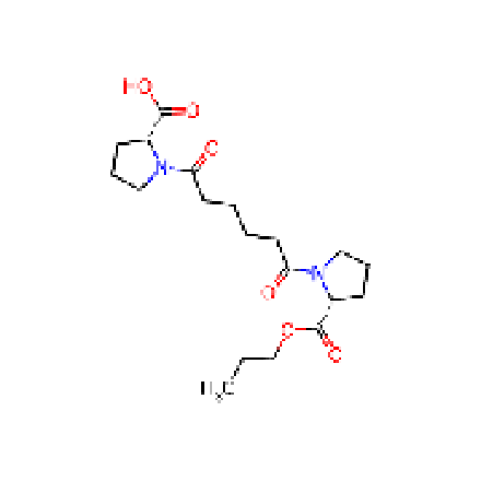 CCCOC(=O)[C@H]1CCCN1C(=O)CCCCC(=O)N1CCC[C@@H]1C(=O)O